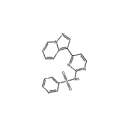 O=S(=O)(Nc1nccc(-c2cnn3ccccc23)n1)c1ccccc1